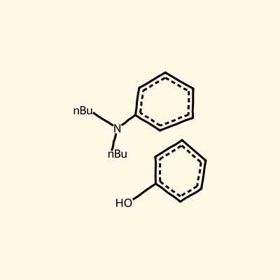 CCCCN(CCCC)c1ccccc1.Oc1ccccc1